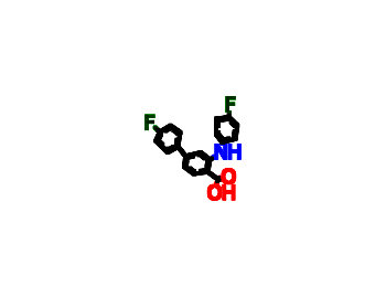 O=C(O)c1ccc(-c2ccc(F)cc2)cc1Nc1ccc(F)cc1